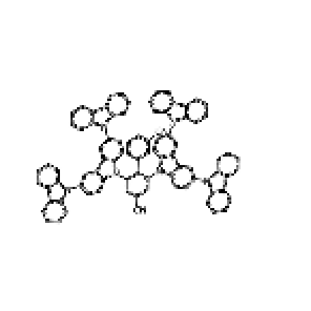 N#Cc1cccc(-c2c(-n3c4ccc(-n5c6ccccc6c6ccccc65)cc4c4cc(-n5c6ccccc6c6ccccc65)ccc43)cc(C#N)cc2-n2c3ccc(-n4c5ccccc5c5ccccc54)cc3c3cc(-n4c5ccccc5c5ccccc54)ccc32)c1